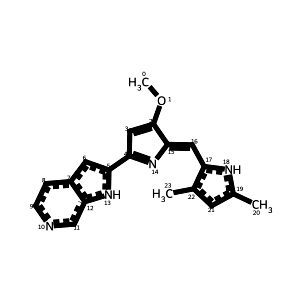 COC1=CC(c2cc3ccncc3[nH]2)=N/C1=C\c1[nH]c(C)cc1C